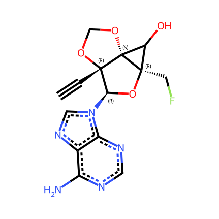 C#C[C@@]12OCO[C@@]13C(O)[C@@]3(CF)O[C@H]2n1cnc2c(N)ncnc21